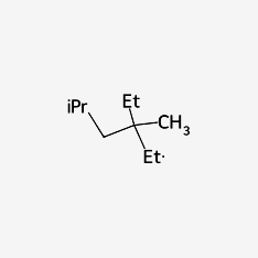 C[CH]C(C)(CC)CC(C)C